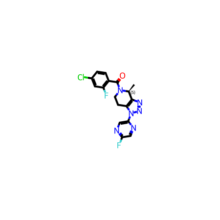 C[C@H]1c2nnn(-c3cnc(F)cn3)c2CCN1C(=O)c1ccc(Cl)cc1F